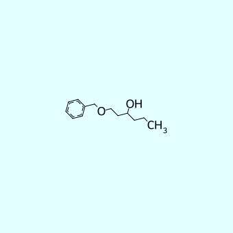 CCCC(O)CCOCc1ccccc1